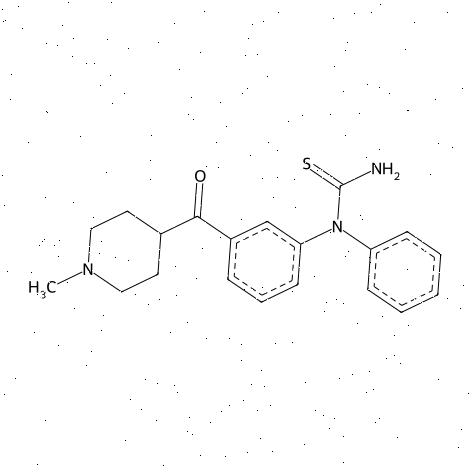 CN1CCC(C(=O)c2cccc(N(C(N)=S)c3ccccc3)c2)CC1